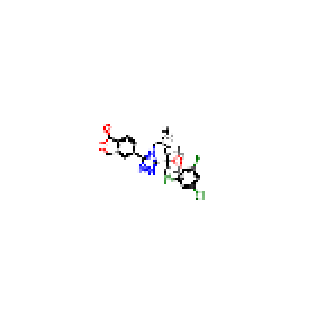 CCn1c(-c2ccc3c(c2)COC3=O)nnc1C(C)(C)Oc1c(F)cc(Cl)cc1F